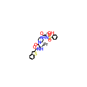 CC(C)C[C@H](NC(=O)c1cc2ccccc2s1)C(=O)N1CCN(C(=O)[C@H](CO)NS(=O)(=O)c2ccccc2)CC1